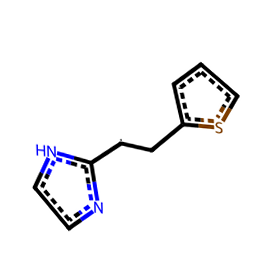 [CH](Cc1cccs1)c1ncc[nH]1